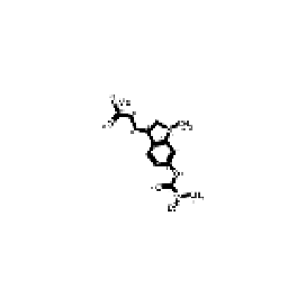 CCN(C)C(=O)Oc1ccc2c(c1)N(C)CC2CCC(=O)OC